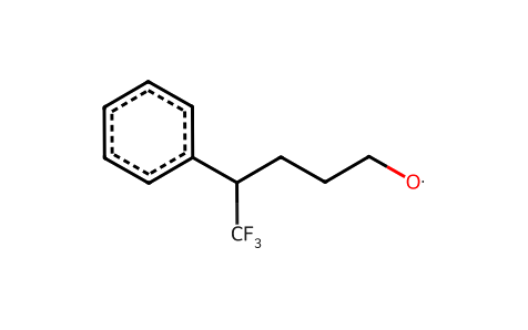 [O]CCCC(c1ccccc1)C(F)(F)F